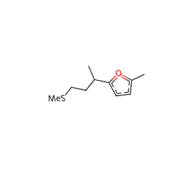 CSCCC(C)c1ccc(C)o1